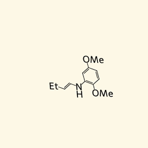 [CH2]CC=CNc1cc(OC)ccc1OC